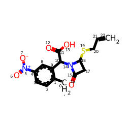 [CH2]c1ccc([N+](=O)[O-])cc1C(C(=O)O)N1C(=O)CC1SCC=C